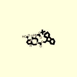 CC(C)(C)OC(=O)N[C@H]1CN(C(=O)OCC2c3ccccc3-c3ccccc32)CC[C@H]2CC[C@@H](C(=O)O)N2C1=O